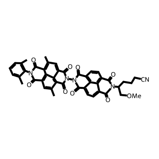 COCC(CCCC#N)N1C(=O)c2ccc3c4c(ccc(c24)C1=O)C(=O)N(N1C(=O)c2cc(C)c4c5c(cc(C)c(c25)C1=O)C(=O)N(c1c(C)cccc1C)C4=O)C3=O